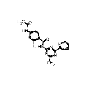 CC(=O)Nc1ccc(C(=O)Nc2nc(C)nc(-c3ccccn3)n2)c(Cl)c1